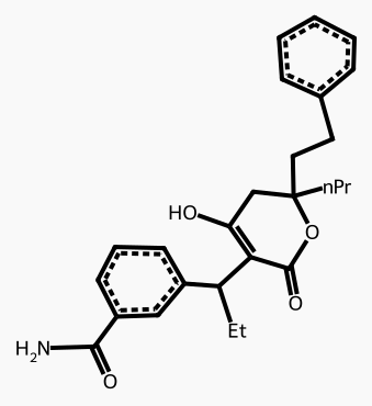 CCCC1(CCc2ccccc2)CC(O)=C(C(CC)c2cccc(C(N)=O)c2)C(=O)O1